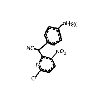 CCCCCCc1ccc(C(C#N)c2nc(Cl)ccc2[N+](=O)[O-])cc1